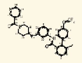 Cc1cccc(C(=O)Nc2cccc(OC3CCN(C(=O)c4cccnc4)CC3)c2)c1-c1ccc(OC(F)(F)F)cc1